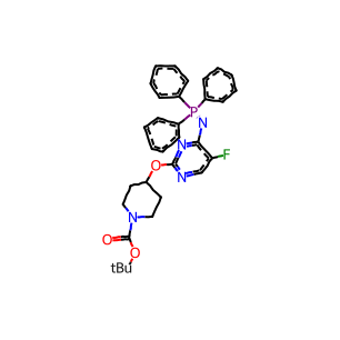 CC(C)(C)OC(=O)N1CCC(Oc2ncc(F)c(N=P(c3ccccc3)(c3ccccc3)c3ccccc3)n2)CC1